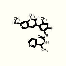 CNc1cc2c(cn1)cc(-c1cc(NC(=O)NC(C)c3cccnc3)c(F)cc1C)c(=O)n2C